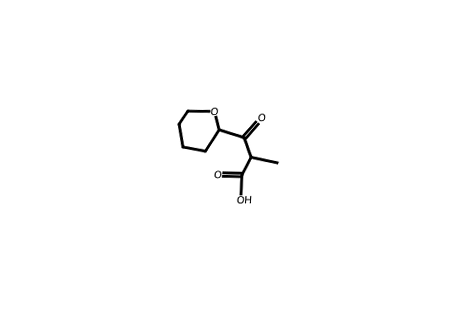 CC(C(=O)O)C(=O)C1CCCCO1